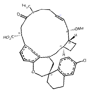 CO[C@H]1/C=C/CCN(C)C(=O)C[C@@H](C(=O)O)c2ccc3c(c2)N(C[C@@H]2CC[C@H]21)C[C@@]1(CCCc2cc(Cl)ccc21)CO3